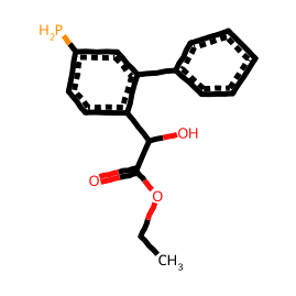 CCOC(=O)C(O)c1ccc(P)cc1-c1ccccc1